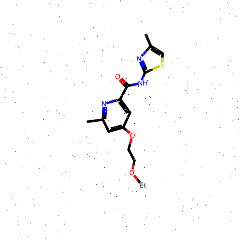 CCOCCOc1cc(C)nc(C(=O)Nc2nc(C)cs2)c1